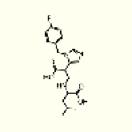 CC(C)CC(NCC(C(=O)O)c1cncn1Cc1ccc(F)cc1)C(=O)O